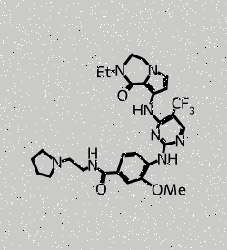 CCN1CCn2ccc(Nc3nc(Nc4ccc(C(=O)NCCN5CCCC5)cc4OC)ncc3C(F)(F)F)c2C1=O